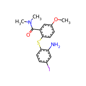 COc1ccc(Sc2ccc(I)cc2N)c(C(=O)N(C)C)c1